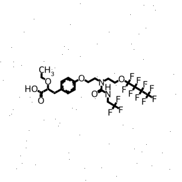 CCOC(Cc1ccc(OCCN(CCOC(F)(F)C(F)(F)C(F)(F)C(F)(F)F)C(=O)NCC(F)(F)F)cc1)C(=O)O